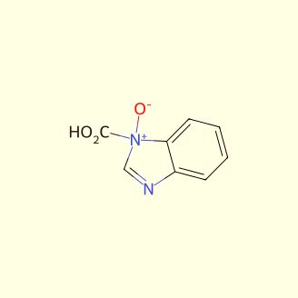 O=C(O)[N+]1([O-])C=Nc2ccccc21